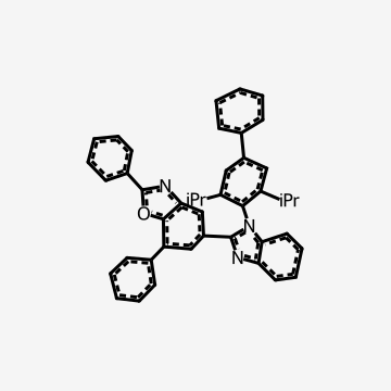 CC(C)c1cc(-c2ccccc2)cc(C(C)C)c1-n1c(-c2cc(-c3ccccc3)c3oc(-c4ccccc4)nc3c2)nc2ccccc21